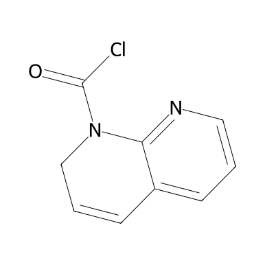 O=C(Cl)N1CC=Cc2cccnc21